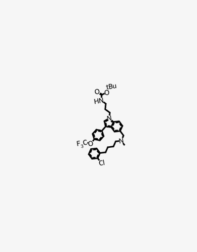 CN(CCCCc1ccccc1Cl)Cc1ccc2c(c1)c(-c1ccc(OC(F)(F)F)cc1)cn2CCCNC(=O)OC(C)(C)C